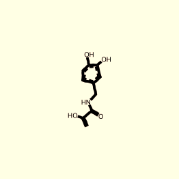 C=C(O)C(=O)NCc1ccc(O)c(O)c1